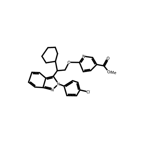 COC(=O)c1ccc(OCC(c2c3ccccc3nn2-c2ccc(Cl)cc2)C2CCCCC2)nc1